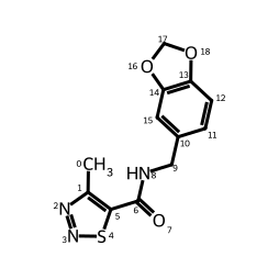 Cc1nnsc1C(=O)NCc1ccc2c(c1)OCO2